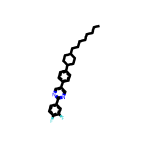 CCCCCCCCC1CCC(c2ccc(-c3cnc(-c4ccc(F)c(F)c4)nc3)cc2)CC1